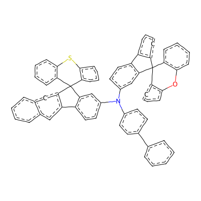 c1ccc(-c2ccc(N(c3ccc4c(c3)C3(c5ccccc5Oc5ccccc53)c3ccccc3-4)c3ccc4c(c3)C3(c5ccccc5Sc5ccccc53)c3cc5ccccc5cc3-4)cc2)cc1